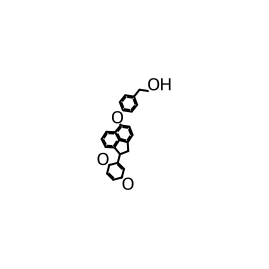 O=C1C=CC(=O)C(C2Cc3ccc(Oc4ccc(CCO)cc4)c4cccc2c34)=C1